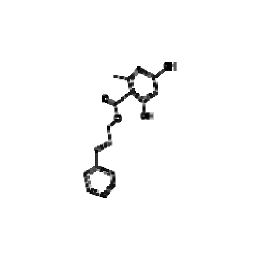 Cc1cc(O)cc(O)c1C(=O)OCC=Cc1ccccc1